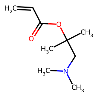 C=CC(=O)OC(C)(C)CN(C)C